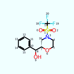 O=S(=O)(N1CCO[C@H]([C@@H](O)c2ccccc2)C1)C(F)(F)F